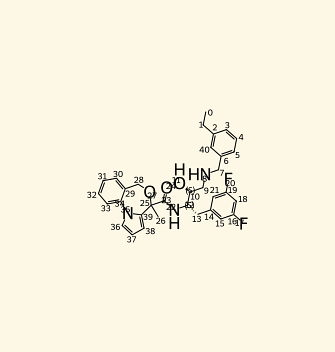 CCc1cccc(CNC[C@H](O)[C@H](Cc2cc(F)cc(F)c2)NC(=O)C2(C)OCc3ccccc3-n3cccc32)c1